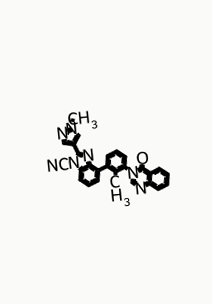 Cc1c(-c2cccc3c2nc(-c2cnn(C)c2)n3C#N)cccc1-n1cnc2ccccc2c1=O